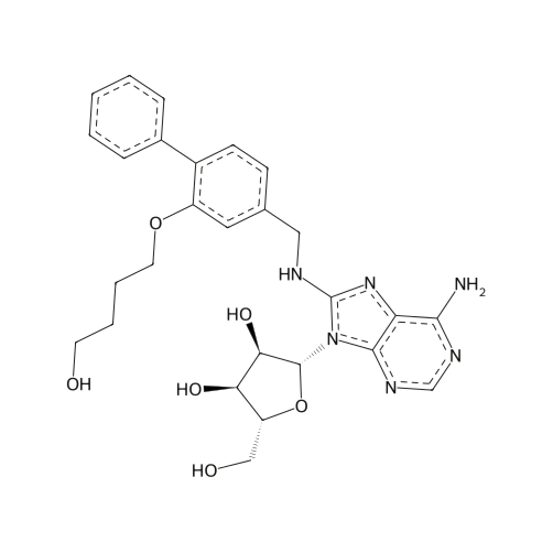 Nc1ncnc2c1nc(NCc1ccc(-c3ccccc3)c(OCCCCO)c1)n2[C@@H]1O[C@H](CO)[C@@H](O)[C@H]1O